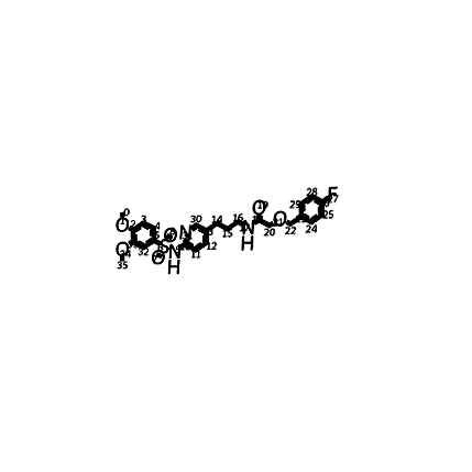 COc1ccc(S(=O)(=O)Nc2ccc(CCCNC(=O)COCc3ccc(F)cc3)cn2)cc1OC